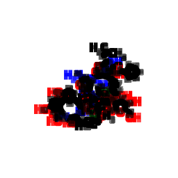 CC(C)C[C@H](NC(=O)OCc1ccccc1)C(=O)N[C@H]1C(=O)N[C@@H](CC(N)=O)C(=O)N[C@H]2C(=O)N[C@H]3C(=O)N[C@H](C(=O)N[C@H](C(=O)O)c4cc(O)cc(O)c4-c4cc3ccc4O)[C@H](O)c3ccc(c(Cl)c3)Oc3cc2cc(c3OC2O[C@H](CO)[C@@H](O)[C@H](O)[C@H]2O[C@H]2C[C@](C)(NC(=O)CN)[C@H](O)[C@H](C)O2)Oc2ccc(cc2Cl)[C@H]1O